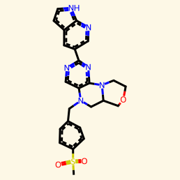 CS(=O)(=O)c1ccc(CN2CC3COCCN3c3nc(-c4cnc5[nH]ccc5c4)ncc32)cc1